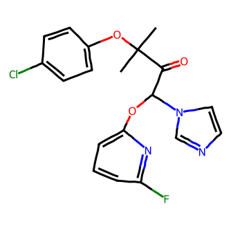 CC(C)(Oc1ccc(Cl)cc1)C(=O)C(Oc1cccc(F)n1)n1ccnc1